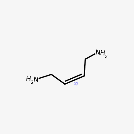 NC/C=C\CN